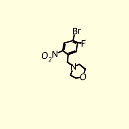 O=[N+]([O-])c1cc(Br)c(F)cc1CN1CCOCC1